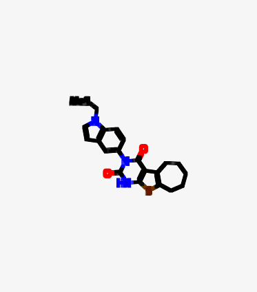 CSCn1ccc2cc(-n3c(=O)[nH]c4sc5c(c4c3=O)CCCCC5)ccc21